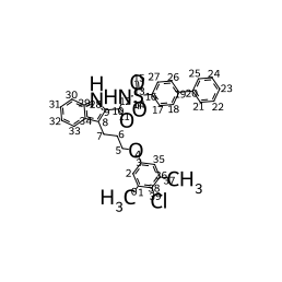 Cc1cc(OCCCc2c(C(=O)NS(=O)(=O)c3ccc(-c4ccccc4)cc3)[nH]c3ccccc23)cc(C)c1Cl